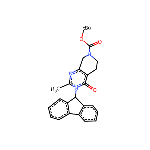 Cc1nc2c(c(=O)n1C1c3ccccc3-c3ccccc31)CCN(C(=O)OC(C)(C)C)C2